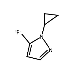 CC(C)c1ccnn1C1CC1